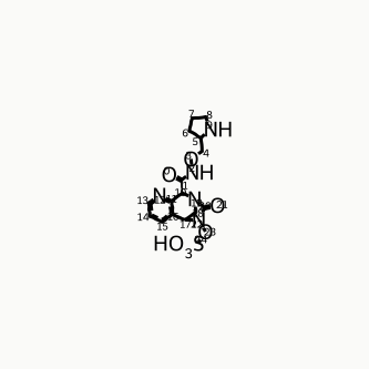 O=C(NOCC1CCCN1)[C@@H]1c2ncccc2C2CN1C(=O)N2OS(=O)(=O)O